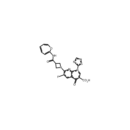 O=C(O)c1cn(-c2ncns2)c2nc(N3CC(C(=O)NC4=CC=CC=CO4)C3)c(F)cc2c1=O